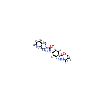 CC(C)[C@@H](C)NC(=O)c1ccc(NC(=O)N2Cc3cccnc3C2)cc1